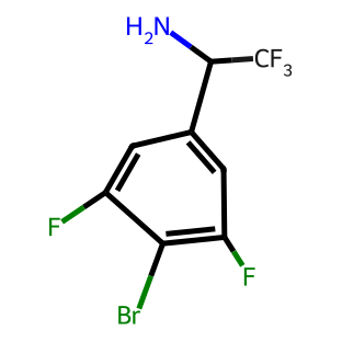 NC(c1cc(F)c(Br)c(F)c1)C(F)(F)F